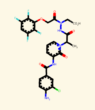 CC(C(=O)NN(CC(=O)O)C(=O)COc1c(F)c(F)cc(F)c1F)n1cccc(NC(=O)c2ccc(N)c(Cl)c2)c1=O